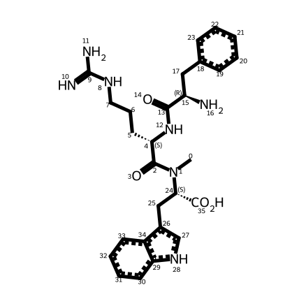 CN(C(=O)[C@H](CCCNC(=N)N)NC(=O)[C@H](N)Cc1ccccc1)[C@@H](Cc1c[nH]c2ccccc12)C(=O)O